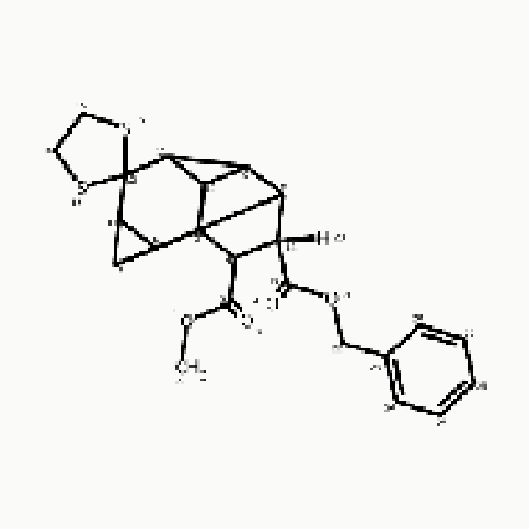 COC(=O)C1C2C3C4C(C5C2C5C2(SCCS2)C34)[C@@H]1C(=O)OCc1ccccc1